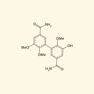 COc1cc(C(N)=O)cc(-c2cc(C(N)=O)cc(O)c2OC)c1OC